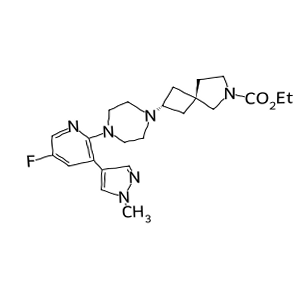 CCOC(=O)N1CC[C@]2(C1)C[C@@H](N1CCN(c3ncc(F)cc3-c3cnn(C)c3)CC1)C2